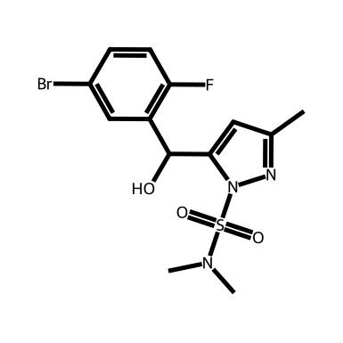 Cc1cc(C(O)c2cc(Br)ccc2F)n(S(=O)(=O)N(C)C)n1